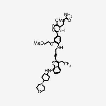 COCCOc1cc(C(=O)NC(CCC(N)=O)C(=O)OC)ccc1NCC#Cc1sc2c(NC3CCC(N4CCOCC4)CC3)cccc2c1CC(F)(F)F